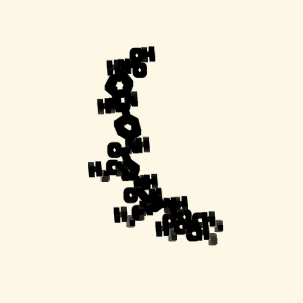 Cn1cc(NC(=O)c2nc(NC(=O)OC(C)(C)C)cn2C)cc1C(=O)Nc1ccc(-c2nc3cc(NC(=O)O)ccc3[nH]2)cc1